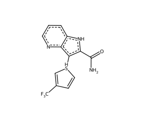 NC(=O)c1[nH]c2cccnc2c1[SH]1C=CC(C(F)(F)F)=C1